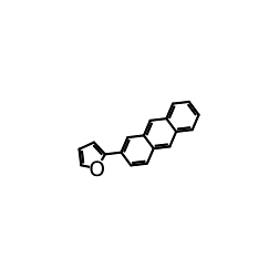 c1coc(-c2ccc3cc4ccccc4cc3c2)c1